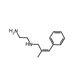 CC(=Cc1ccccc1)CNCCN